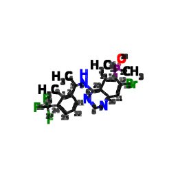 Cc1c(C(C)Nc2ncnc3cc(Br)c(P(C)(C)=O)cc23)cccc1C(F)(F)F